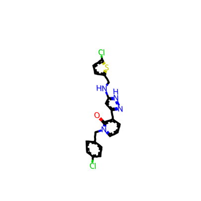 O=c1c(-c2cc(NCc3ccc(Cl)s3)[nH]n2)cccn1Cc1ccc(Cl)cc1